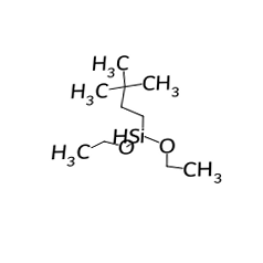 CCO[SiH](CCC(C)(C)C)OCC